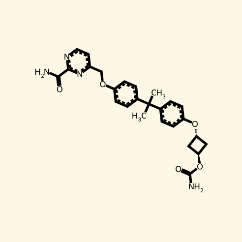 CC(C)(c1ccc(OCc2ccnc(C(N)=O)n2)cc1)c1ccc(O[C@H]2C[C@H](OC(N)=O)C2)cc1